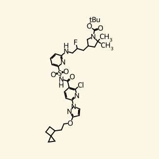 CC(C)(C)OC(=O)N1CC(CC(F)CNc2cccc(S(=O)(=O)NC(=O)c3ccc(-n4ccc(OCCC5CCC56CC6)n4)nc3Cl)n2)CC1(C)C